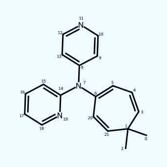 CC1(C)C=CC=C(N(c2ccncc2)c2ccccn2)C=C1